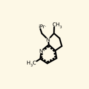 C[C](C)CN1c2nc(C)ccc2CCC1C